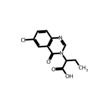 CCC(C(=O)O)n1cnc2ccc(Cl)cc2c1=O